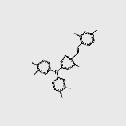 Cc1ccc(C=Cc2ccc(N(c3ccc(C)c(C)c3)c3ccc(C)c(C)c3)cc2C)c(C)c1